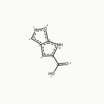 O=C(O)c1cc2cnoc2[nH]1